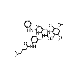 COc1cc(OC)c(Cl)c(N2Cc3cnc(Nc4ccccc4)nc3N(Cc3cccc(NC(=O)/C=C/CN(C)C)c3)C2=O)c1Cl